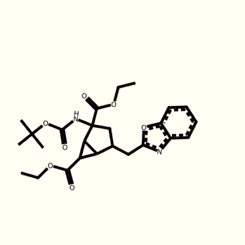 CCOC(=O)C1C2C(Cc3nc4ccccc4o3)CC(NC(=O)OC(C)(C)C)(C(=O)OCC)C12